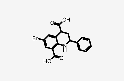 O=C(O)c1cc(Br)cc2c1NC(c1ccccc1)CC2C(=O)O